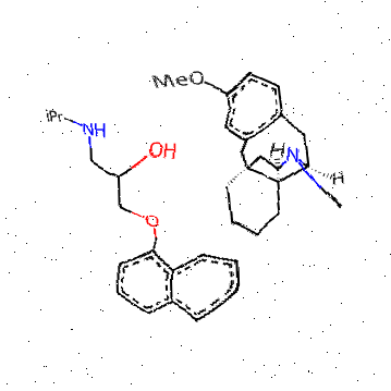 CC(C)NCC(O)COc1cccc2ccccc12.COc1ccc2c(c1)[C@]13CCCC[C@@H]1[C@H](C2)N(C)CC3